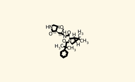 CC(C)(C(=O)N1C[C@H]2[C@@H]([C@H]1C(=O)N[C@H](CO)C[C@@H]1CCNC1=O)C2(C)C)c1ccccc1